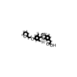 Cc1cc(OCCC2CCCCO2)cc(C)c1C(=O)Nc1cc(CC(=O)O)ccc1Cl